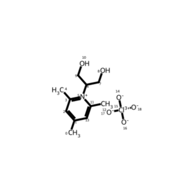 Cc1cc(C)[n+](C(CO)CO)c(C)c1.[O-][Cl+3]([O-])([O-])[O-]